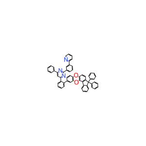 c1ccc(-c2cc(-c3ccccc3-c3ccc4c(c3)Oc3c(ccc5c3-c3ccccc3C5(c3ccccc3)c3ccccc3)O4)nc(-c3cccc(-c4ccccn4)c3)n2)cc1